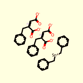 O=C([O-])/C=C(/Cc1ccccc1)C(=O)[O-].O=C([O-])/C=C(/Cc1ccccc1)C(=O)[O-].c1ccc([CH2][Sn+4][CH2]c2ccccc2)cc1